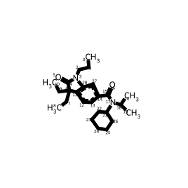 CCCN1C(=O)C(CC)(CC)c2ccc(C(=O)N(C(C)C)C3CCCCC3)cc21